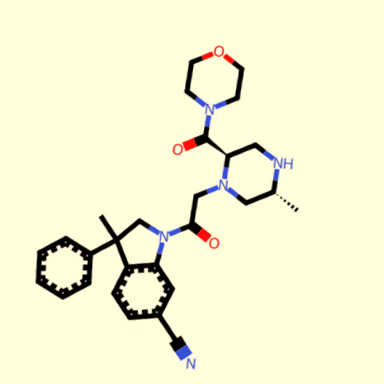 C[C@@H]1CN(CC(=O)N2CC(C)(c3ccccc3)c3ccc(C#N)cc32)[C@@H](C(=O)N2CCOCC2)CN1